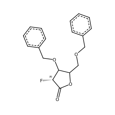 O=C1OC(COCc2ccccc2)C(OCc2ccccc2)[C@H]1F